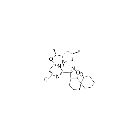 C[C@H](Oc1cc(Cl)nc(-c2noc3c2CCC[C@@]32CCCCC2=O)n1)[C@@H]1C[C@@H](F)CN1C